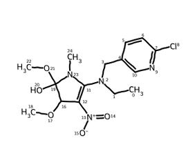 CCN(Cc1ccc(Cl)nc1)C1=C([N+](=O)[O-])C(OC)C(O)(OC)N1C